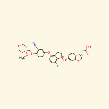 COC1(COc2ccc(Oc3ccc(F)c4c3CC[C@H]4Oc3ccc4c(c3)OC[C@H]4CC(=O)O)cc2C#N)CCOCC1